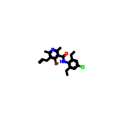 C=CCc1c(C)nc(C)c(C(=O)Nc2c(CC)cc(Cl)cc2CC)c1Br